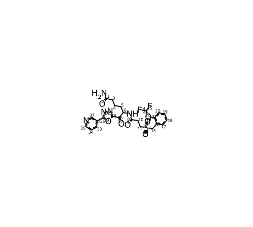 NC(=O)CCCC(NC(=O)[CH]CS(=O)(=O)Cc1ccccc1OC(F)F)C(=O)c1nnc(-c2cccnc2)o1